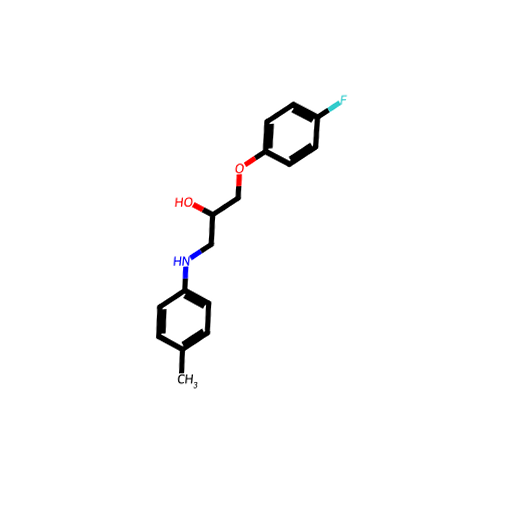 Cc1ccc(NCC(O)COc2ccc(F)cc2)cc1